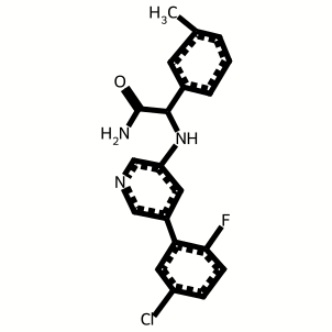 Cc1cccc(C(Nc2cncc(-c3cc(Cl)ccc3F)c2)C(N)=O)c1